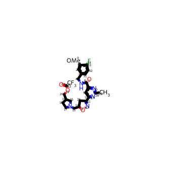 COc1cc(CNC(=O)c2cc(C3=NOC(CN4CCC(COC(=O)C(F)(F)F)C4)C3)nc(C)n2)ccc1F